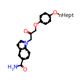 CCCCCCCOc1ccc(OCC(=O)Cn2ccc3cc(C(N)=O)ccc32)cc1